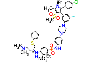 CCOP(=O)(Nc1ccc(N2CCN(c3cc(F)cc(-c4c(S(C)(=O)=O)c(C)n(C(C)C)c4-c4ccc(Cl)cc4)c3)CC2)cc1)c1ccc(N[C@H](CCN(C)C)CSc2ccccc2)c([N+](=O)[O-])c1